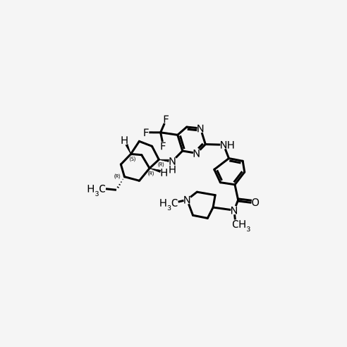 CC[C@@H]1C[C@@H]2CC[C@@H](Nc3nc(Nc4ccc(C(=O)N(C)C5CCN(C)CC5)cc4)ncc3C(F)(F)F)[C@H](C1)C2